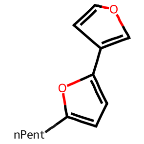 [CH2]CCCCc1ccc(-c2ccoc2)o1